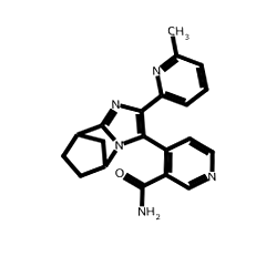 Cc1cccc(-c2nc3n(c2-c2ccncc2C(N)=O)C2CCC3C2)n1